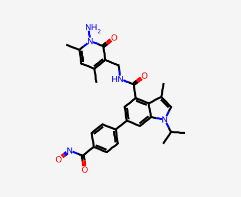 Cc1cc(C)n(N)c(=O)c1CNC(=O)c1cc(-c2ccc(C(=O)N=O)cc2)cc2c1c(C)cn2C(C)C